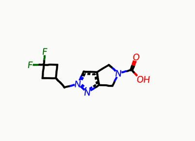 O=C(O)N1Cc2cn(CC3CC(F)(F)C3)nc2C1